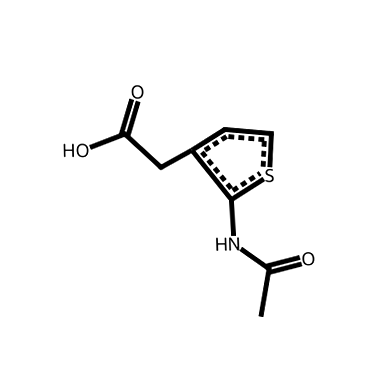 CC(=O)Nc1sccc1CC(=O)O